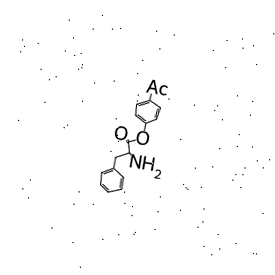 CC(=O)c1ccc(OC(=O)[C@@H](N)Cc2ccccc2)cc1